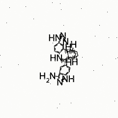 Nc1n[nH]c2ccc([C@@H]3Nc4ccc5[nH]nnc5c4[C@H]4[C@@H]5CC[C@@H](C5)[C@H]43)cc12